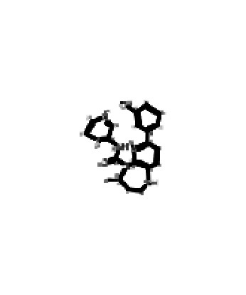 C[C@@H]1CCNc2ccc(-c3cccc(Cl)c3)nc2N1C(=O)Nc1cnccn1